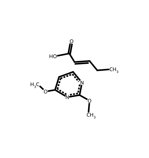 CCC=CC(=O)O.COc1ccnc(OC)n1